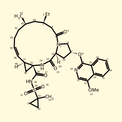 CC[C@H]1CC(=O)N2C[C@H](Oc3ncc(OC)c4ccccc34)C[C@H]2C(=O)N[C@]2(C(=O)NS(=O)(=O)C3(C)CC3)C[C@H]2/C=C\CC[C@@H](C)C1